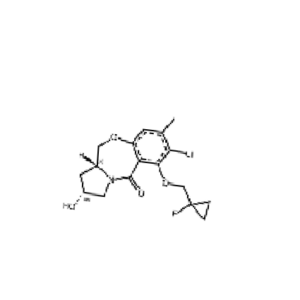 Cc1cc2c(c(OCC3(F)CC3)c1Cl)C(=O)N1C[C@H](O)C[C@@H]1CO2